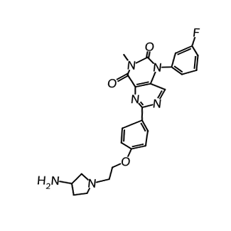 Cn1c(=O)c2nc(-c3ccc(OCCN4CCC(N)C4)cc3)ncc2n(-c2cccc(F)c2)c1=O